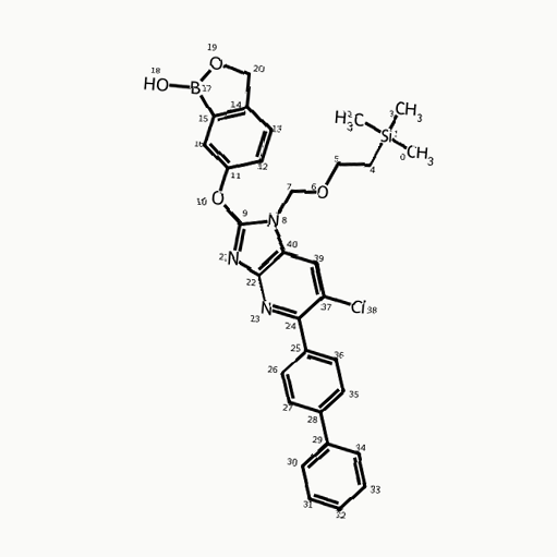 C[Si](C)(C)CCOCn1c(Oc2ccc3c(c2)B(O)OC3)nc2nc(-c3ccc(-c4ccccc4)cc3)c(Cl)cc21